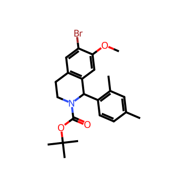 COc1cc2c(cc1Br)CCN(C(=O)OC(C)(C)C)C2c1ccc(C)cc1C